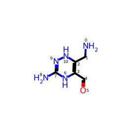 NCC1=C(C=O)NC(N)=NN1